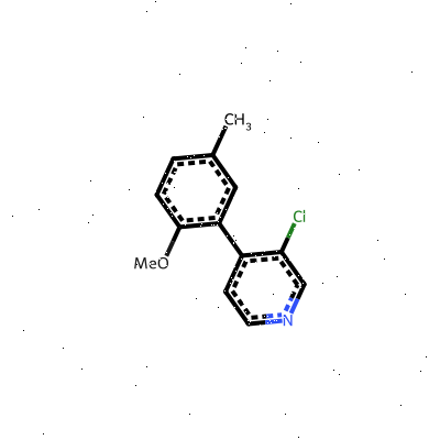 COc1ccc(C)cc1-c1ccncc1Cl